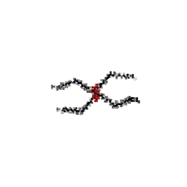 CCCCCCCC/C=C\CCCCCCCC(=O)OCC(COC(=O)CCCCCCC/C=C\CCCCCCCC)(OC(=O)CCCCCCC/C=C\CCCCCCCC)OC(=O)CCCCCCC/C=C\CCCCCCCC